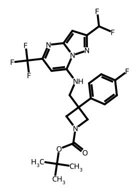 CC(C)(C)OC(=O)N1CC(CNc2cc(C(F)(F)F)nc3cc(C(F)F)nn23)(c2ccc(F)cc2)C1